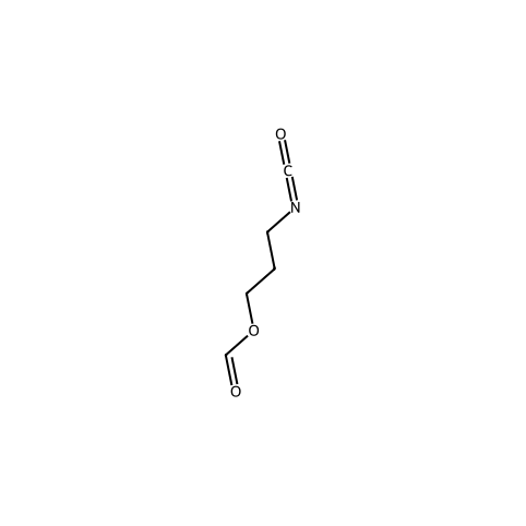 O=C=NCCCOC=O